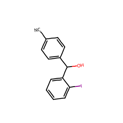 N#Cc1ccc(C(O)c2ccccc2I)cc1